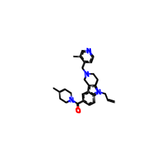 C=CCn1c2c(c3cc(C(=O)N4CCC(C)CC4)ccc31)CN(Cc1ccncc1C)CC2